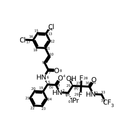 CC(C)[C@H](NC(=O)[C@@H](NC(=O)C=Cc1cc(Cl)cc(Cl)c1)c1ccccc1)[C@@H](O)C(F)(F)C(=O)NCC(F)(F)F